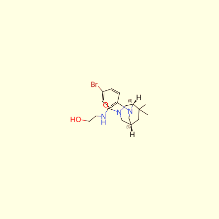 CC1(C)C[C@@H]2CN(C(=O)NCCO)C[C@H]1N(c1ccc(Br)cc1)C2